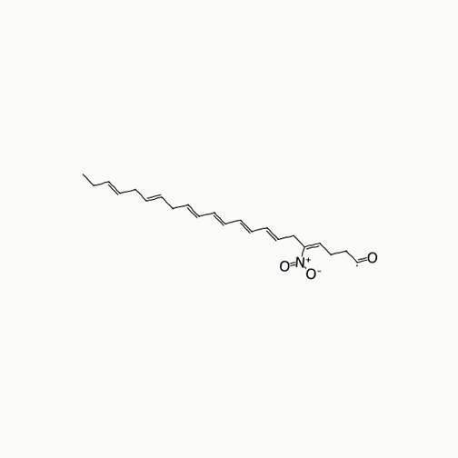 CC/C=C/C/C=C/C/C=C/C=C/C=C/C=C/C/C(=C/CC[C]=O)[N+](=O)[O-]